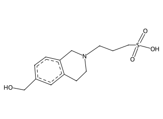 O=S(=O)(O)CCCN1CCc2cc(CO)ccc2C1